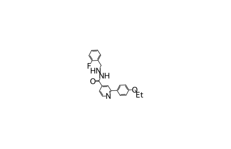 CCOc1ccc(-c2cc(C(=O)NNCc3ccccc3F)ccn2)cc1